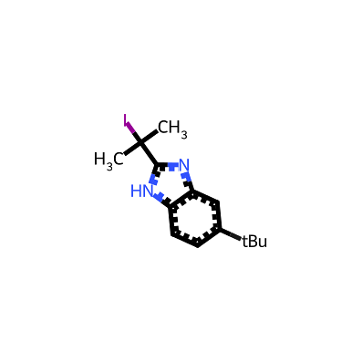 CC(C)(C)c1ccc2[nH]c(C(C)(C)I)nc2c1